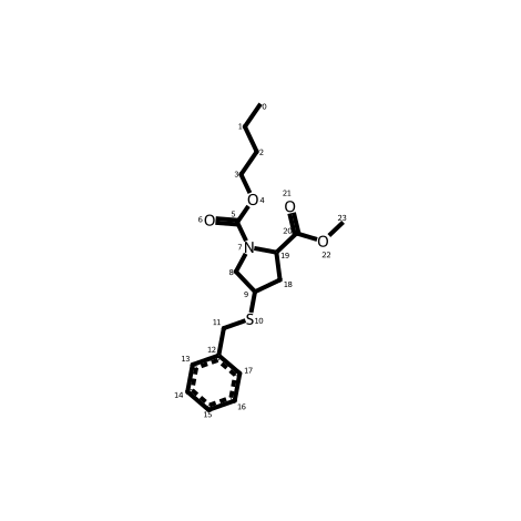 CCCCOC(=O)N1CC(SCc2ccccc2)CC1C(=O)OC